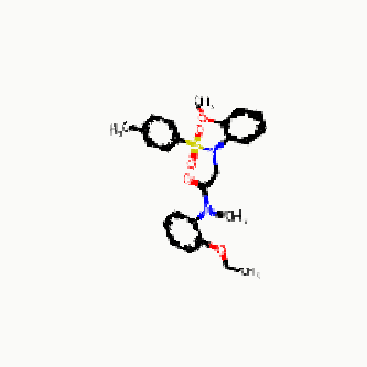 CCOc1ccccc1N(C)C(=O)CN(c1ccccc1OC)S(=O)(=O)c1ccc(C)cc1